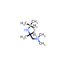 CN(C)CC(C)(C)N[Si](C)(C)C